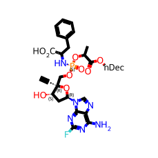 C#C[C@]1(CO[P@@](=O)(NC(Cc2ccccc2)C(=O)O)OC(C)C(=O)OCCCCCCCCCC)O[C@@H](n2cnc3c(N)nc(F)nc32)C[C@@H]1O